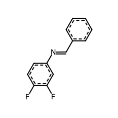 Fc1ccc(N=Cc2ccccc2)cc1F